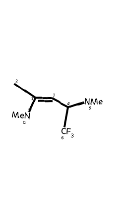 CN/C(C)=C\C(NC)C(F)(F)F